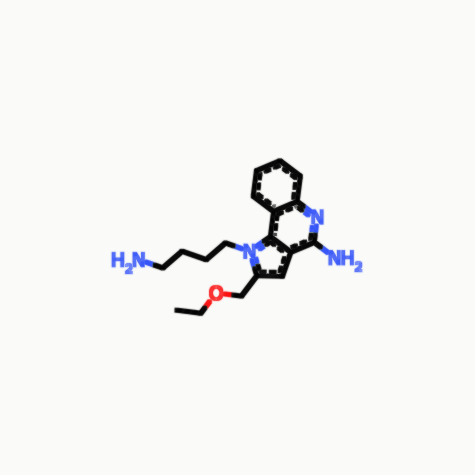 CCOCc1cc2c(N)nc3ccccc3c2n1CCCCN